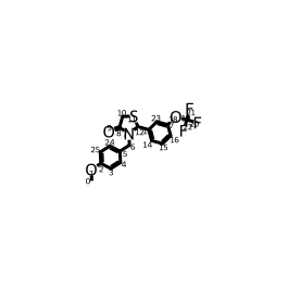 COc1ccc(CN2C(=O)CSC2c2cccc(OC(F)(F)F)c2)cc1